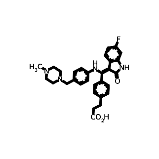 CN1CCN(Cc2ccc(NC(=C3C(=O)Nc4cc(F)ccc43)c3ccc(CCC(=O)O)cc3)cc2)CC1